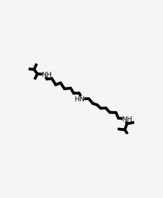 CC(C)C(C)NCCCCCCCCNCCCCCCCCNC(C)C(C)C